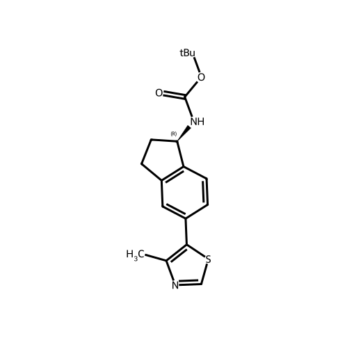 Cc1ncsc1-c1ccc2c(c1)CC[C@H]2NC(=O)OC(C)(C)C